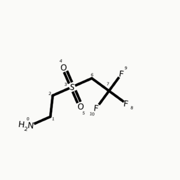 NCCS(=O)(=O)CC(F)(F)F